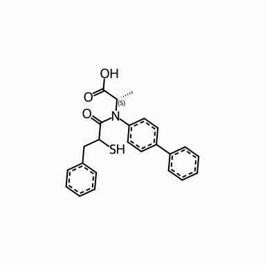 C[C@@H](C(=O)O)N(C(=O)C(S)Cc1ccccc1)c1ccc(-c2ccccc2)cc1